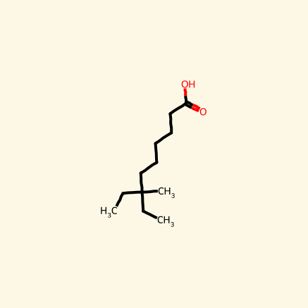 CCC(C)(CC)CCCCCC(=O)O